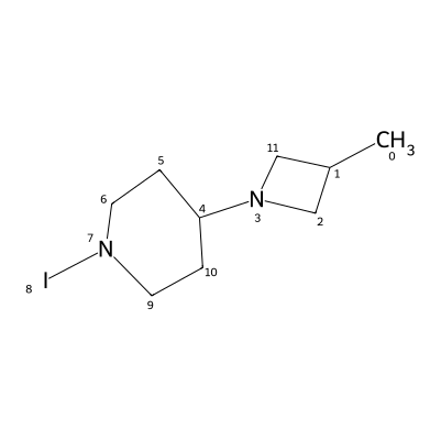 CC1CN(C2CCN(I)CC2)C1